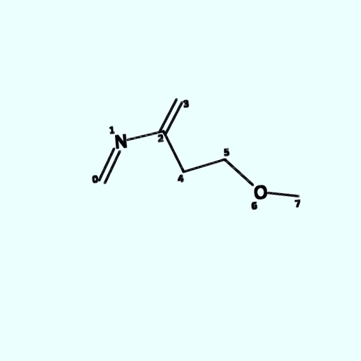 C=NC(=C)CCOC